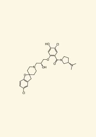 CN(C)[C@@H]1CCN(C(=O)c2cc(Cl)c(O)cc2OC[C@@H](O)CN2CCC3(CC2)Cc2cc(Cl)ccc2O3)C1